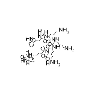 NCCCC[C@H](NC(=O)[C@H](CCCCN)NC(=O)[C@@H](N)Cc1c[nH]c2ccccc12)C(=O)N[C@@H](CCCCN)C(=O)N(CC(=O)O)C(=O)CCCC[C@@H]1SC[C@@H]2NC(=O)N[C@@H]21